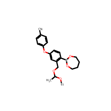 CCOC(C)OCc1cc(Oc2ccc(C#N)cc2)ccc1B1OCCCCO1